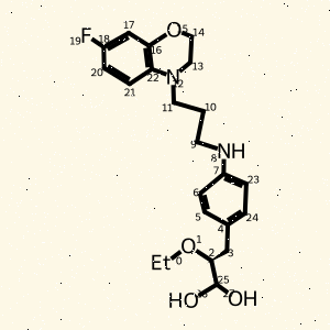 CCO[C@@H](Cc1ccc(NCCCN2CCOc3cc(F)ccc32)cc1)C(O)O